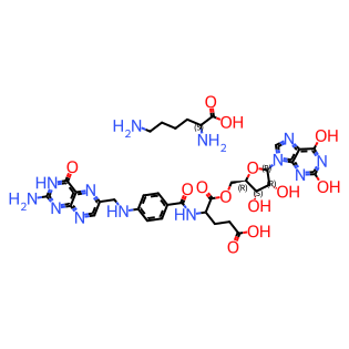 NCCCC[C@H](N)C(=O)O.Nc1nc2ncc(CNc3ccc(C(=O)NC(CCC(=O)O)C(=O)OC[C@H]4O[C@@H](n5cnc6c(O)nc(O)nc65)[C@H](O)[C@@H]4O)cc3)nc2c(=O)[nH]1